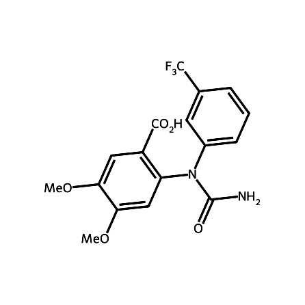 COc1cc(C(=O)O)c(N(C(N)=O)c2cccc(C(F)(F)F)c2)cc1OC